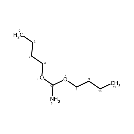 CCCCOC(N)OCCCC